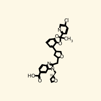 CC1(c2ccc(Cl)cn2)Oc2cccc(C3COC(Cc4nc5ccc(C(=O)O)cc5n4C[C@@H]4CCO4)C3)c2O1